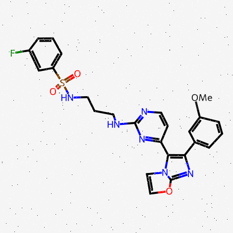 COc1cccc(-c2nc3occn3c2-c2ccnc(NCCCNS(=O)(=O)c3cccc(F)c3)n2)c1